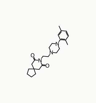 Cc1ccc(C)c(N2CCN(CCN3C(=O)CC4(CCCC4)CC3=O)CC2)c1